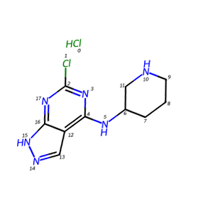 Cl.Clc1nc(NC2CCCNC2)c2cn[nH]c2n1